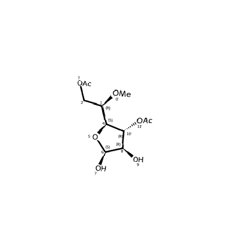 CO[C@H](COC(C)=O)[C@@H]1O[C@H](O)[C@H](O)[C@H]1OC(C)=O